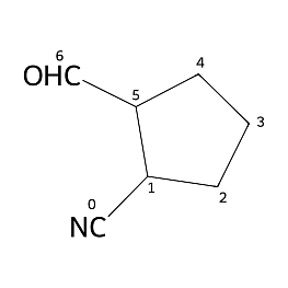 N#CC1CCCC1C=O